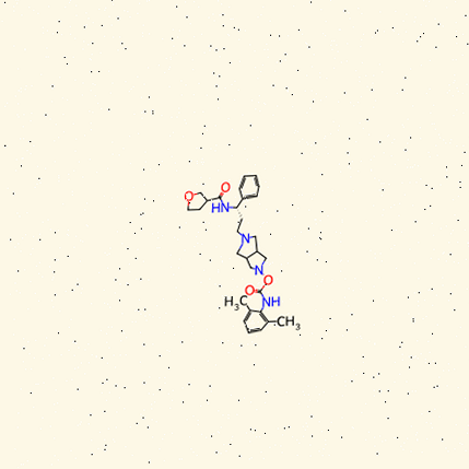 Cc1cccc(C)c1NC(=O)ON1CC2CN(CC[C@H](NC(=O)C3CCOC3)c3ccccc3)CC2C1